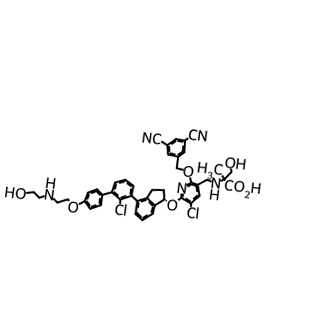 CC(CO)(NCc1cc(Cl)c(O[C@H]2CCc3c(-c4cccc(-c5ccc(OCCNCCO)cc5)c4Cl)cccc32)nc1OCc1cc(C#N)cc(C#N)c1)C(=O)O